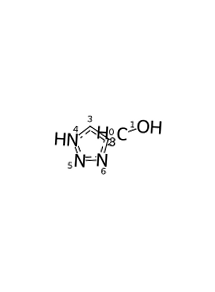 CO.c1c[nH]nn1